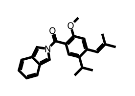 COc1cc(C=C(C)C)c(C(C)C)cc1C(=O)n1cc2ccccc2c1